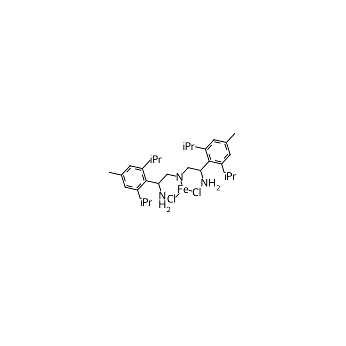 Cc1cc(C(C)C)c(C(N)C[N](CC(N)c2c(C(C)C)cc(C)cc2C(C)C)[Fe]([Cl])[Cl])c(C(C)C)c1